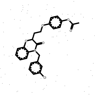 CC(=O)Oc1ccc(OCCC2Oc3ccccc3N(Cc3cccc(Cl)c3)C2=O)cc1